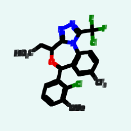 CCOC(=O)CC1OC(c2cccc(OC)c2Cl)c2cc(C(F)(F)F)ccc2-n2c1nnc2C(F)(F)Cl